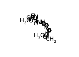 C[C@@H]1CN(c2cccc(-c3ccc4cnc(CNC(=O)c5cnc6occ(S(C)(=O)=O)c6c5)cc4n3)n2)C[C@H](C)O1